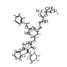 CC(C)(C)OC(=O)NCCOC[C@@H](CNC(=O)c1[nH]c2ccccc2c1C1CCCCC1)NC(=O)OCc1ccccc1